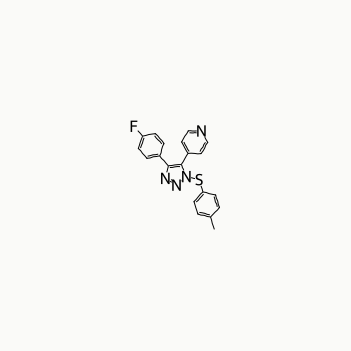 Cc1ccc(Sn2nnc(-c3ccc(F)cc3)c2-c2ccncc2)cc1